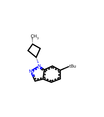 CC(C)(C)c1ccc2cnn([C@H]3C[C@@H](C)C3)c2c1